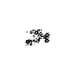 O=C(CO)N[C@H]1C[C@@H](n2cnc3c(NCC(c4ccccc4)c4ccccc4)nc(-n4cnc(NC(=O)NCc5cccc(O)c5)n4)nc32)[C@H](O)[C@@H]1O